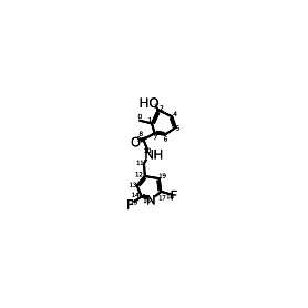 Cc1c(O)cccc1C(=O)NCc1cc(F)nc(F)c1